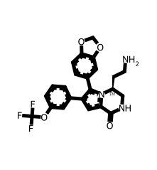 NCC[C@H]1CNC(=O)c2cc(-c3cccc(OC(F)(F)F)c3)c(-c3ccc4c(c3)OCO4)n21